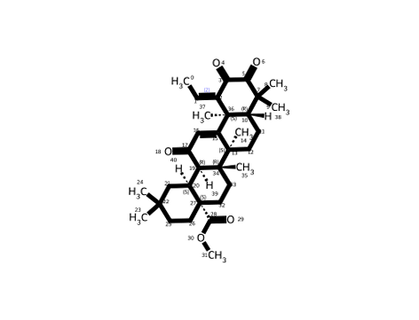 C/C=C1\C(=O)C(=O)C(C)(C)[C@@H]2CC[C@]3(C)C(=CC(=O)[C@@H]4[C@@H]5CC(C)(C)CC[C@]5(C(=O)OC)CC[C@]43C)[C@@]12C